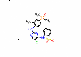 Cc1cc(P(C)(C)=O)ccc1Nc1ncc(Cl)c(Nc2ccccc2[SH](=O)=O)n1